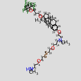 CNCCCOCCSSCCOCCCN(C)CCOc1ccc2c(c1)CC[C@@H]1[C@@H]2CC[C@]2(C)[C@@H](OCCCOC(C(F)(F)F)(C(F)(F)F)C(F)(F)F)CC[C@@H]12